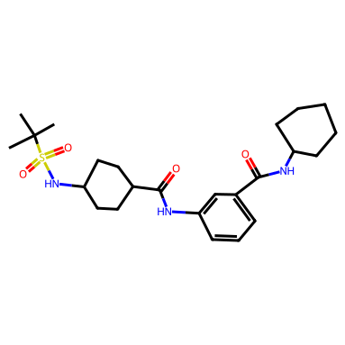 CC(C)(C)S(=O)(=O)NC1CCC(C(=O)Nc2cccc(C(=O)NC3CCCCC3)c2)CC1